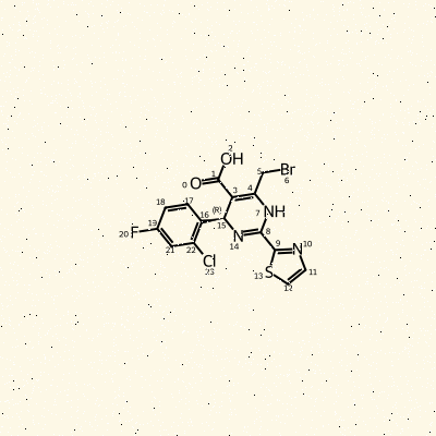 O=C(O)C1=C(CBr)NC(c2nccs2)=N[C@H]1c1ccc(F)cc1Cl